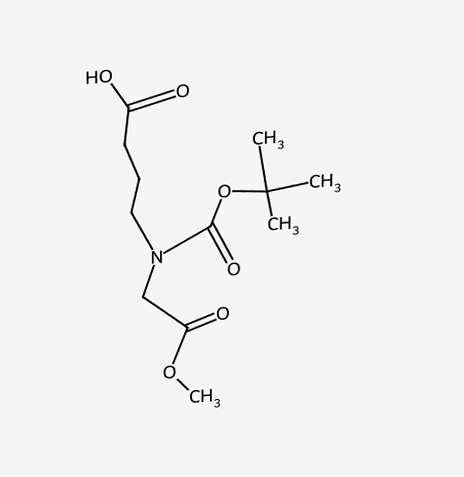 COC(=O)CN(CCCC(=O)O)C(=O)OC(C)(C)C